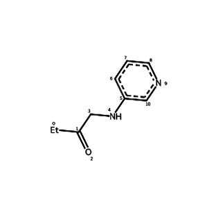 CCC(=O)CNc1cccnc1